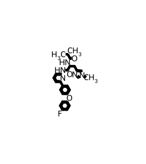 CC(C)C(=O)NC(Cc1cn(C)cn1)C(=O)Nc1cccc(-c2ccc(Oc3ccc(F)cc3)cc2)n1